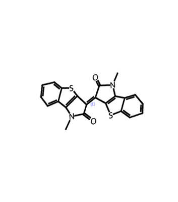 CN1C(=O)/C(=C2/C(=O)N(C)c3c2sc2ccccc32)c2sc3ccccc3c21